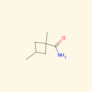 CC1CC(C)(C(N)=O)C1